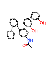 CC(=O)Nc1ccc(-c2ccccc2-c2ccccc2)cc1.Oc1ccccc1.Oc1ccccc1